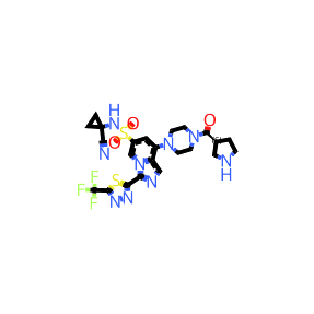 N#CC1(NS(=O)(=O)c2cc(N3CCN(C(=O)[C@H]4CCNC4)CC3)c3cnc(-c4nnc(C(F)(F)F)s4)n3c2)CC1